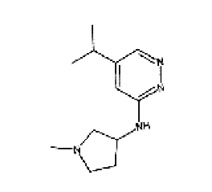 CC(C)c1cnnc(NC2CCN(C)C2)c1